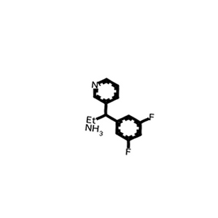 CCC(c1cccnc1)c1cc(F)cc(F)c1.N